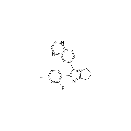 Fc1ccc(-c2nc3n(c2-c2ccc4nccnc4c2)CCC3)c(F)c1